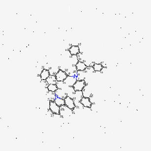 c1ccc(-c2ccc(N(c3ccc(-c4ccccc4-c4ccc(-n5c6ccccc6c6ccccc65)cc4)cc3)c3cc(-c4ccccc4)cc(-c4ccccc4)c3)cc2)cc1